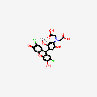 COc1cc(N(CC(=O)O)CC(=O)O)c(O)cc1-c1c2cc(Cl)c(=O)cc-2oc2cc(O)c(Cl)cc12